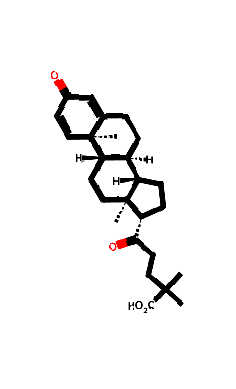 CC(C)(CCC(=O)[C@H]1CC[C@H]2[C@@H]3CCC4=CC(=O)C=C[C@]4(C)[C@H]3CC[C@]12C)C(=O)O